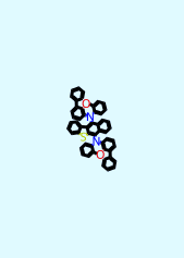 Cc1ccccc1N(c1cccc2c1oc1ccccc12)c1c2ccccc2c(N(c2ccccc2C)c2cccc3c2oc2ccccc23)c2c1sc1ccccc12